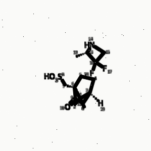 CC1(C)[C@H]2CC[C@]1(CS(=O)(=O)O)C(=O)C2.C[C@@H]1NCC1(F)F